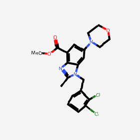 COOC(=O)c1cc(N2CCOCC2)cc2c1nc(C)n2Cc1cccc(Cl)c1Cl